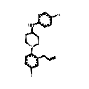 C=CCc1cc(I)ccc1N1CCC(Nc2ccc(CC)cc2)CC1